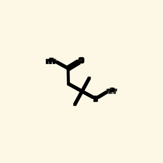 CCCSC(C)(C)CC(=O)CCC